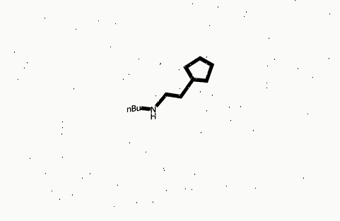 CCCCNCCC1CCCC1